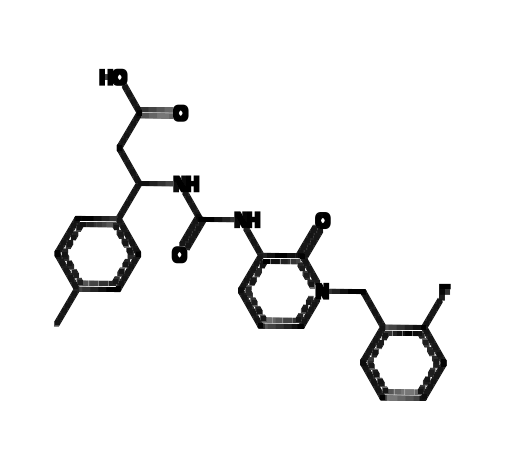 Cc1ccc(C(CC(=O)O)NC(=O)Nc2cccn(Cc3ccccc3F)c2=O)cc1